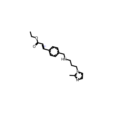 CCOC(=O)/C=C/c1ccc(CNCCCn2ccnc2C)cc1